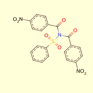 O=C(c1ccc([N+](=O)[O-])cc1)N(C(=O)c1ccc([N+](=O)[O-])cc1)S(=O)(=O)c1ccccc1